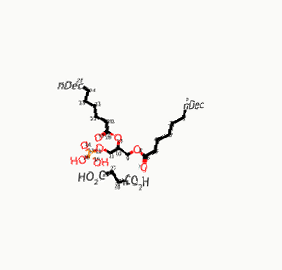 CCCCCCCCCCCCCCCC(=O)OCC(COP(=O)(O)O)OC(=O)CCCCCCCCCCCCCCC.O=C(O)CCC(=O)O